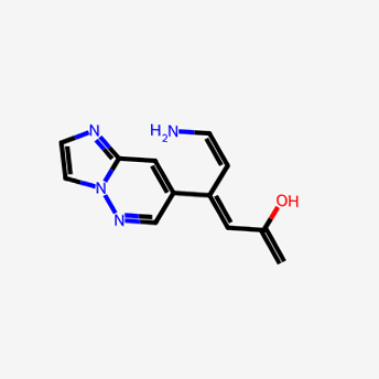 C=C(O)/C=C(\C=C/N)c1cnn2ccnc2c1